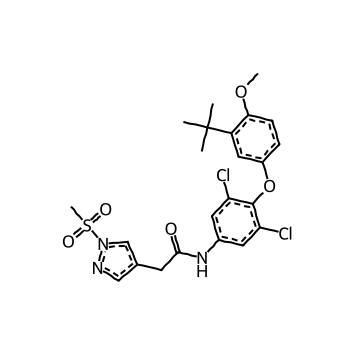 COc1ccc(Oc2c(Cl)cc(NC(=O)Cc3cnn(S(C)(=O)=O)c3)cc2Cl)cc1C(C)(C)C